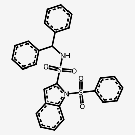 O=S(=O)(NC(c1ccccc1)c1ccccc1)c1cc2ccccc2n1S(=O)(=O)c1ccccc1